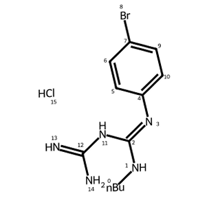 CCCCNC(=Nc1ccc(Br)cc1)NC(=N)N.Cl